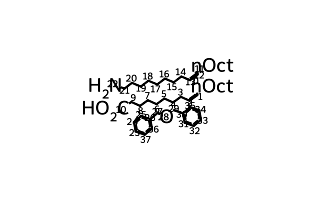 CCCCCCCC/C=C\CCCCCCCC(=O)O.CCCCCCCC/C=C\CCCCCCCCN.c1ccc(COCc2ccccc2)cc1